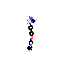 NC(=O)[C@@H]1C[C@H](F)CN1C(=O)c1ccc(-c2ccc(OCC3CCN(CC4(C(F)(F)F)CCC4)CC3)cc2)cc1